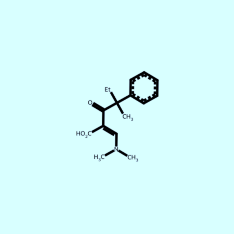 CCC(C)(C(=O)C(=CN(C)C)C(=O)O)c1ccccc1